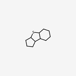 C1CCC2C(C1)SC1CCCC12